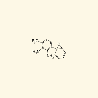 Nc1c(C(F)(F)F)ccc(C23C=CC=CC2O3)c1N